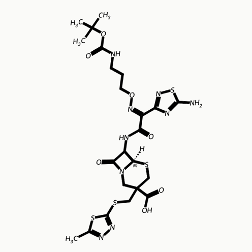 Cc1nnc(SCC2(C(=O)O)CS[C@@H]3C(NC(=O)C(=NOCCCNC(=O)OC(C)(C)C)c4nsc(N)n4)C(=O)N3C2)s1